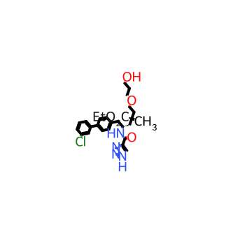 CCOC(=O)[C@](C)(CCOCCCO)C[C@@H](Cc1ccc(-c2cccc(Cl)c2)cc1)NC(=O)c1c[nH]nn1